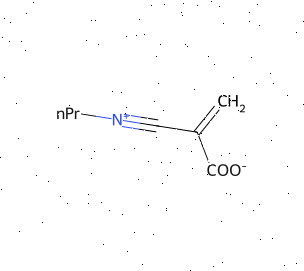 C=C(C#[N+]CCC)C(=O)[O-]